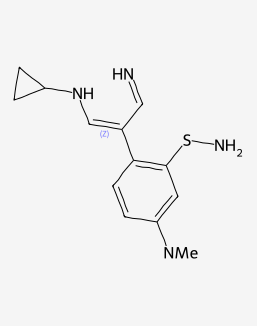 CNc1ccc(/C(C=N)=C/NC2CC2)c(SN)c1